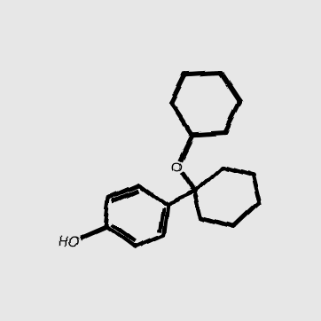 Oc1ccc(C2(OC3CCCCC3)CCCCC2)cc1